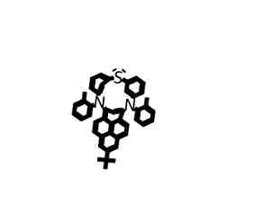 Cc1ccccc1N1c2cccc(c2)S(C)(C)c2cccc(c2)N(c2ccccc2C)c2cc1c1ccc3cc(C(C)(C)C)cc4ccc2c1c34